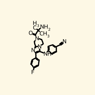 CC(C)(N)C(=O)N1CCn2c(nc(-c3ccc(F)cc3)c2Nc2ccc(C#N)cc2)C1